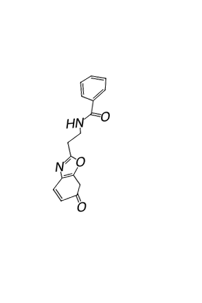 O=C1C=Cc2nc(CCNC(=O)c3ccccc3)oc2C1